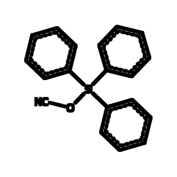 N#CO[Si](c1ccccc1)(c1ccccc1)c1ccccc1